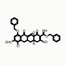 N=C(OCc1ccccc1)C1=C(N=O)C[C@@H]2CC3Cc4c(Cl)c(C=O)cc(OCc5ccccc5)c4C(=O)C3=C3O[C@]32C1=O